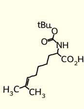 CC(C)=CCCCCC(NC(=O)OC(C)(C)C)C(=O)O